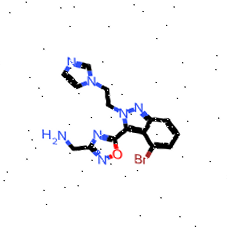 NCc1noc(-c2c3c(Br)cccc3nn2CCn2ccnc2)n1